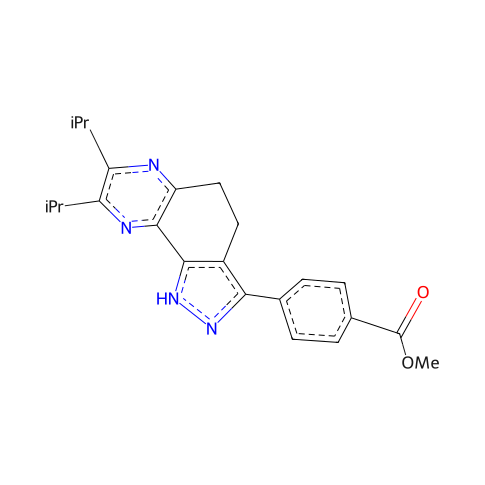 COC(=O)c1ccc(-c2n[nH]c3c2CCc2nc(C(C)C)c(C(C)C)nc2-3)cc1